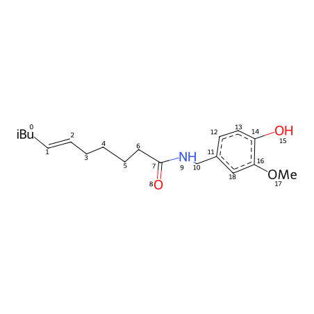 CCC(C)C=CCCCCC(=O)NCc1ccc(O)c(OC)c1